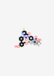 CC(C)(C)N(C(=O)O)C1CCC(n2c(=O)c3cc(F)cnc3n(-c3cccc(-c4cc(O)ccc4C=O)c3)c2=O)CC1